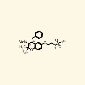 CCCS(=O)(=O)NCCOc1ccc2c(c1)[C@@H](Cc1ccccc1)[C@@H](NC)C(C)(C)O2